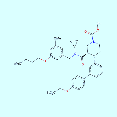 CCOC(=O)COc1ccc(-c2cccc([C@H]3CCN(C(=O)OC(C)(C)C)C[C@@H]3C(=O)N(Cc3cc(OC)cc(OCCCOC)c3)C3CC3)c2)cc1